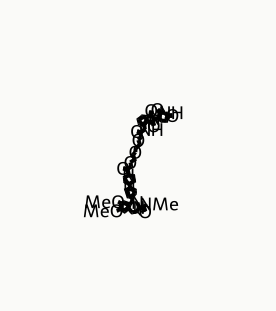 CNC(=O)N1N=C(c2ccc(N3CCN(C(=O)COCCOCCOCC(=O)Nc4cccc5c4C(=O)N(C4CCC(=O)NC4=O)C5=O)CC3)cc2)c2cc(OC)c(OC)cc2C[C@@H]1C